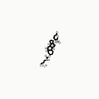 CC1([C@H]2CC[C@]3(O)[C@@H]4CC[C@@H]5C[C@@H](OC(=O)NCCCC(=O)O)CC[C@]5(C)[C@H]4CC[C@]23C)C=CC(=O)OC1